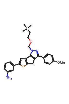 COc1ccc(-c2nn(COCC[Si](C)(C)C)c3c2Cc2sc(-c4cccc(N)c4)cc2-3)cc1